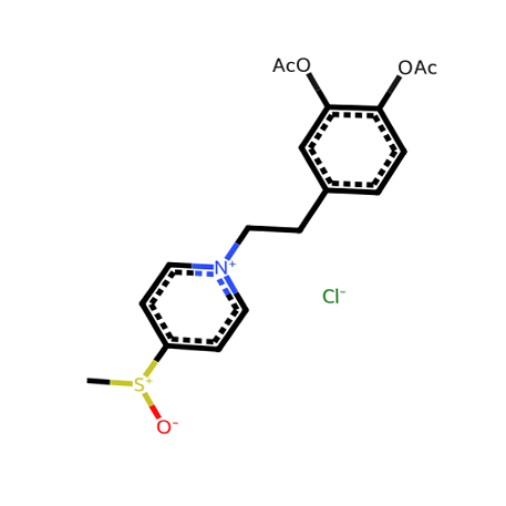 CC(=O)Oc1ccc(CC[n+]2ccc([S+](C)[O-])cc2)cc1OC(C)=O.[Cl-]